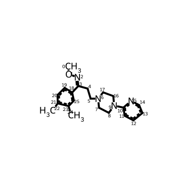 CO/N=C(/CCN1CCN(c2ccccn2)CC1)c1ccc(C)c(C)c1